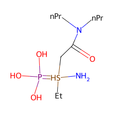 CCCN(CCC)C(=O)C[SH](N)(CC)=P(O)(O)O